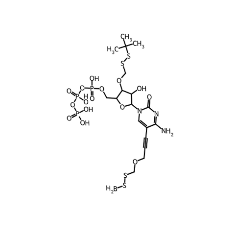 BSSCOCC#Cc1cn(C2OC(COP(=O)(O)OP(=O)(O)OP(=O)(O)O)C(OCSSC(C)(C)C)C2O)c(=O)nc1N